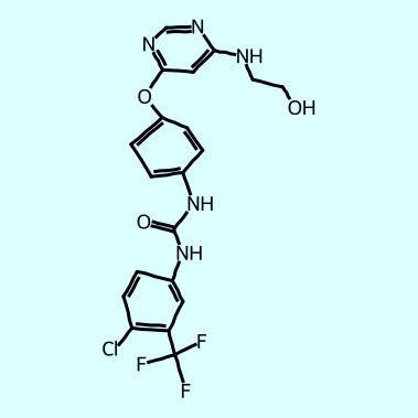 O=C(Nc1ccc(Oc2cc(NCCO)ncn2)cc1)Nc1ccc(Cl)c(C(F)(F)F)c1